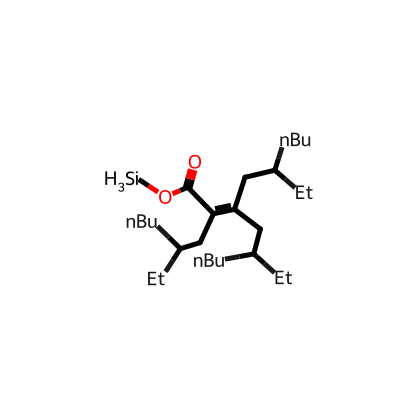 CCCCC(CC)CC(CC(CC)CCCC)=C(CC(CC)CCCC)C(=O)O[SiH3]